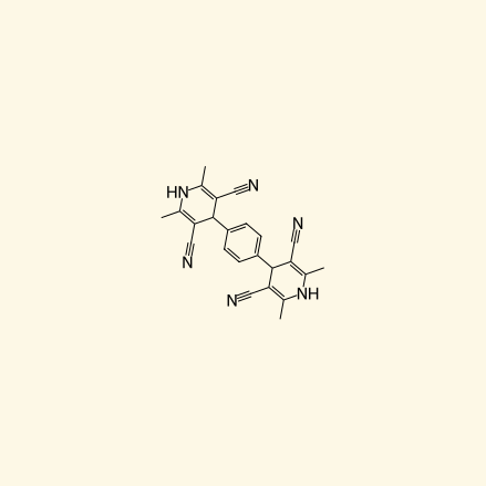 CC1=C(C#N)C(c2ccc(C3C(C#N)=C(C)NC(C)=C3C#N)cc2)C(C#N)=C(C)N1